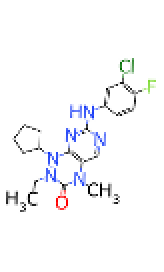 CCN1C(=O)N(C)c2cnc(Nc3ccc(F)c(Cl)c3)nc2N1C1CCCC1